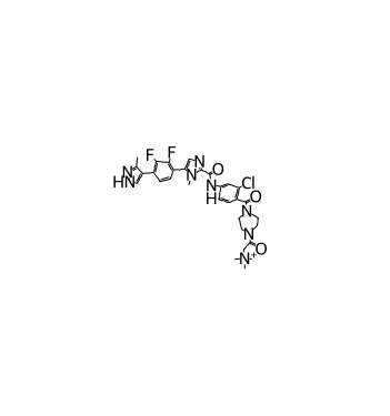 Cc1n[nH]cc1-c1ccc(-c2cnc(C(=O)Nc3ccc(C(=O)N4CCN(C(=O)C[N+](C)(C)C)CC4)c(Cl)c3)n2C)c(F)c1F